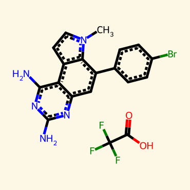 Cn1ccc2c3c(N)nc(N)nc3cc(-c3ccc(Br)cc3)c21.O=C(O)C(F)(F)F